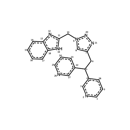 c1cncc(C(Cc2cn(Cc3nc4ccccc4[nH]3)nn2)c2cccnc2)c1